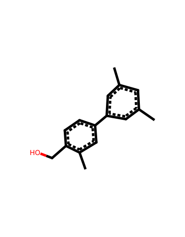 Cc1cc(C)cc(-c2ccc(CO)c(C)c2)c1